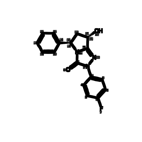 O=c1n(-c2ccc(F)cc2)nc2n1[C@H](c1ccccc1)C[C@@H]2O